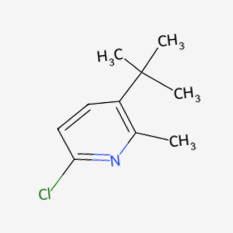 Cc1nc(Cl)ccc1C(C)(C)C